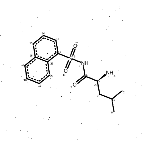 CC(C)C[C@H](N)C(=O)NS(=O)(=O)c1cccc2ccccc12